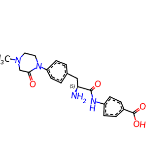 CN1CCN(c2ccc(C[C@H](N)C(=O)Nc3ccc(C(=O)O)cc3)cc2)C(=O)C1